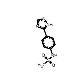 CS(=O)(=O)Nc1ccc(-c2ncn[nH]2)cc1